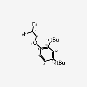 CC(C)(C)c1ccc(OCC(F)F)c(C(C)(C)C)c1